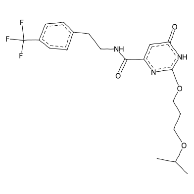 CC(C)OCCCOc1nc(C(=O)NCCc2ccc(C(F)(F)F)cc2)cc(=O)[nH]1